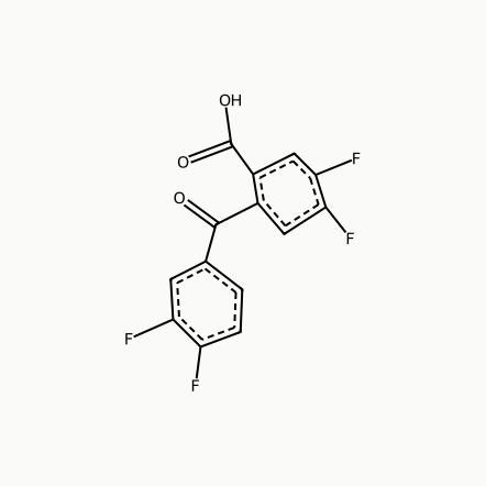 O=C(O)c1cc(F)c(F)cc1C(=O)c1ccc(F)c(F)c1